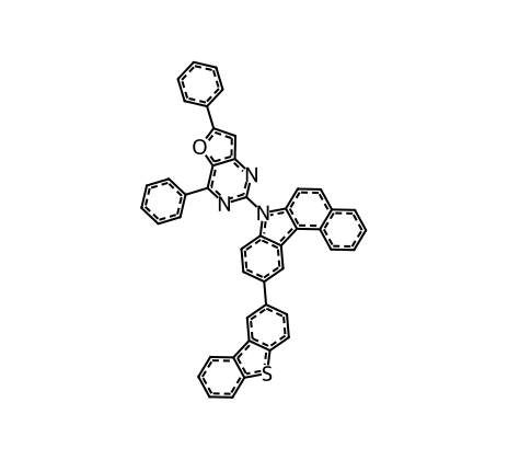 c1ccc(-c2cc3nc(-n4c5ccc(-c6ccc7sc8ccccc8c7c6)cc5c5c6ccccc6ccc54)nc(-c4ccccc4)c3o2)cc1